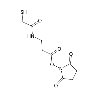 O=C(CS)NCCC(=O)ON1C(=O)CCC1=O